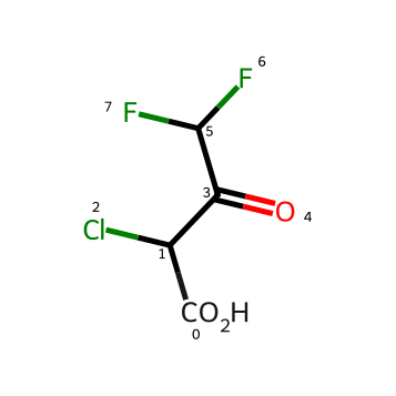 O=C(O)C(Cl)C(=O)C(F)F